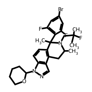 CC1Cc2c(ccc3c2cnn3C2CCCCO2)C(C)(c2c(F)cc(Br)cc2F)N1CC(C)(C)F